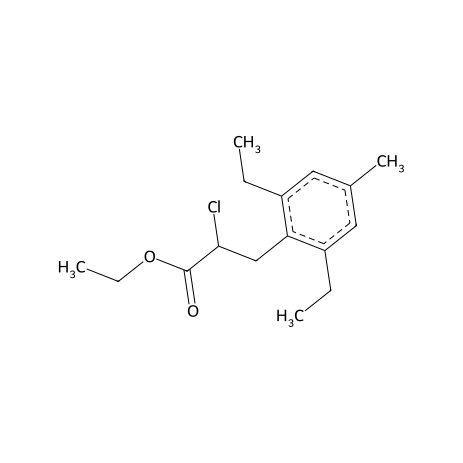 CCOC(=O)C(Cl)Cc1c(CC)cc(C)cc1CC